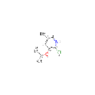 CCc1cnc(Cl)c(OC(CC)CC)c1